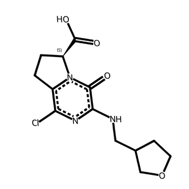 O=C(O)[C@@H]1CCc2c(Cl)nc(NCC3CCOC3)c(=O)n21